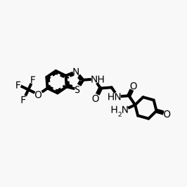 NC1(C(=O)NCC(=O)Nc2nc3ccc(OC(F)(F)F)cc3s2)CCC(=O)CC1